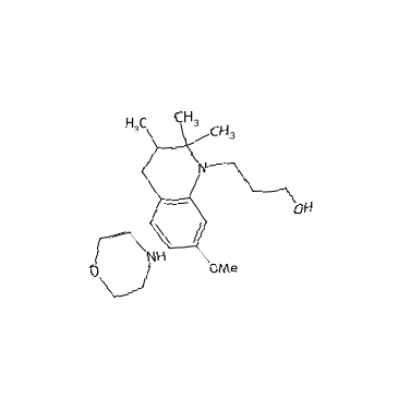 C1COCCN1.COc1ccc2c(c1)N(CCCO)C(C)(C)C(C)C2